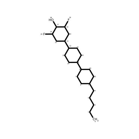 CCCCCC1CCC(C2CCC(C3CC(F)C(O)C(F)C3)CC2)CC1